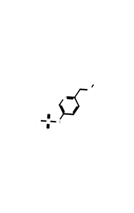 COCc1ccc(NS(C)(=O)=O)cn1